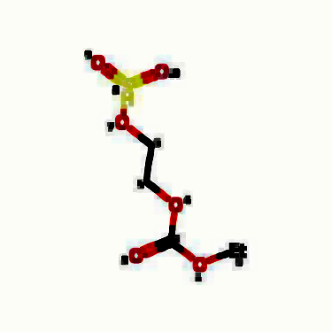 CCOC(=O)OCCO[SH](=O)=O